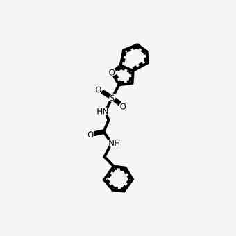 O=C(CNS(=O)(=O)c1cc2ccccc2o1)NCc1ccccc1